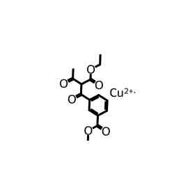 CCOC(=O)C(C(C)=O)C(=O)c1cccc(C(=O)OC)c1.[Cu+2]